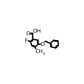 Cc1cc(F)c(C(=O)O)cc1OCc1ccccc1